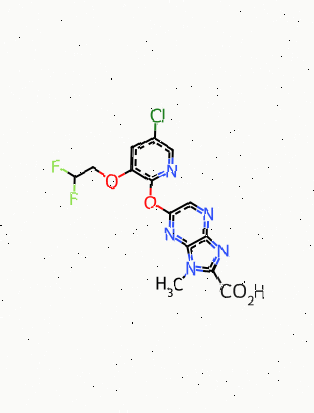 Cn1c(C(=O)O)nc2ncc(Oc3ncc(Cl)cc3OCC(F)F)nc21